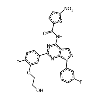 O=C(Nc1nc(-c2ccc(F)c(OCCO)c2)nc2c1cnn2-c1cccc(F)c1)c1ccc([N+](=O)[O-])s1